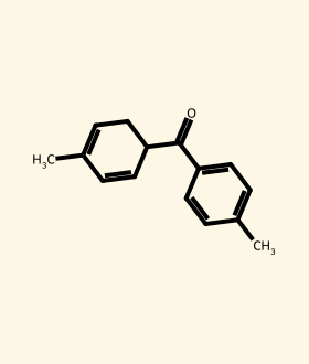 CC1=CCC(C(=O)c2ccc(C)cc2)C=C1